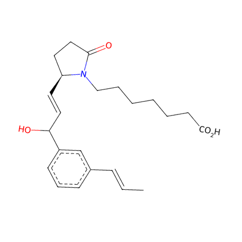 CC=Cc1cccc(C(O)C=C[C@H]2CCC(=O)N2CCCCCCC(=O)O)c1